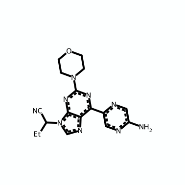 CCC(C#N)n1cnc2c(-c3cnc(N)cn3)nc(N3CCOCC3)nc21